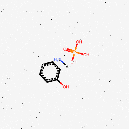 CC(N)=O.O=P(O)(O)O.Oc1ccccc1